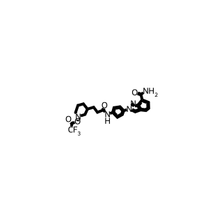 NC(=O)c1cccc2cn(-c3ccc(NC(=O)CCC4CCCN(OC(=O)C(F)(F)F)C4)cc3)nc12